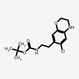 CC(C)(C)OC(=O)NCCc1cc2c(cc1Cl)NCCO2